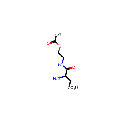 CCCC(=O)OCCNC(=O)C(N)CC(=O)O